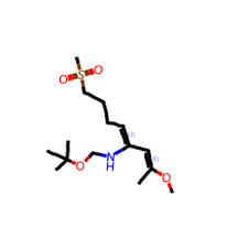 CO/C(C)=C/C(=C/CCCS(C)(=O)=O)NCOC(C)(C)C